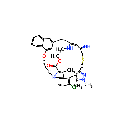 CN/C1=C\C(=N)CSCc2nn(C)c(C)c2-c2c(Cl)ccc3c2c(C)c(C(=O)OC)n3CCCOc2cc(cc3ccccc23)CC1